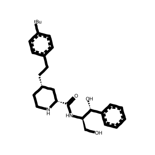 CC(C)(C)c1ccc(CC[C@H]2CCN[C@@H](C(=O)N[C@H](CO)[C@H](O)c3ccccc3)C2)cc1